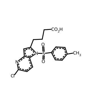 Cc1ccc(S(=O)(=O)n2c(CCCC(=O)O)cc3nc(Cl)ccc32)cc1